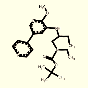 CCC(CN(CC)C(=O)OC(C)(C)C)Nc1cc(-c2ccncc2)cnc1OC